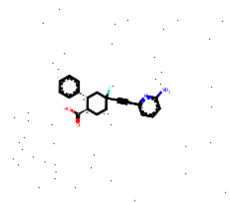 Nc1cccc(C#CC2(F)CC[C@@H](C(=O)O)[C@H](c3ccccc3)C2)n1